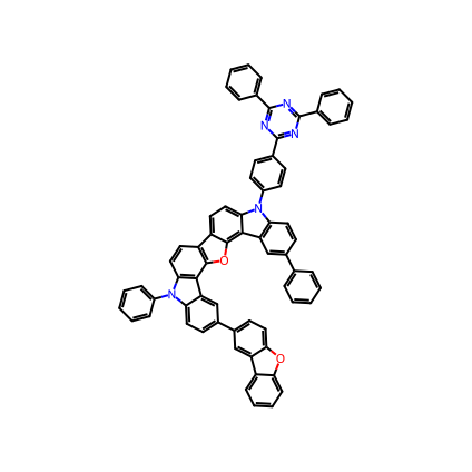 c1ccc(-c2ccc3c(c2)c2c4oc5c(ccc6c5c5cc(-c7ccc8oc9ccccc9c8c7)ccc5n6-c5ccccc5)c4ccc2n3-c2ccc(-c3nc(-c4ccccc4)nc(-c4ccccc4)n3)cc2)cc1